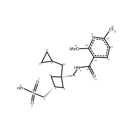 CCCS(=O)(=O)C[C@H]1C[C@](CNC(=O)c2ccc(C(F)(F)F)nc2OC)(CC2CC2)C1